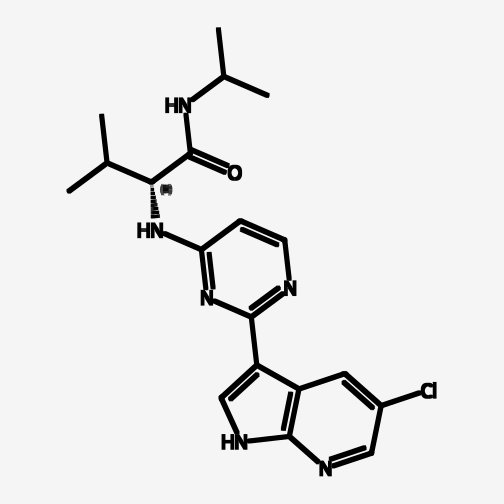 CC(C)NC(=O)[C@H](Nc1ccnc(-c2c[nH]c3ncc(Cl)cc23)n1)C(C)C